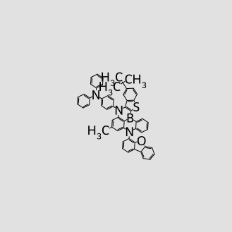 Cc1cc2c3c(c1)N(c1cccc4c1oc1ccccc14)c1ccccc1B3c1sc3ccc(C(C)(C)C)cc3c1N2c1ccc(N(c2ccccc2)c2ccccc2)cc1